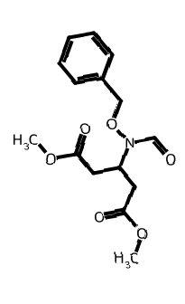 COC(=O)CC(CC(=O)OC)N(C=O)OCc1ccccc1